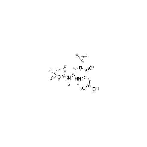 CN[C@@H](CC(=O)O)C(=O)N(CCN(C)C(=O)OC(C)(C)C)C1CC1